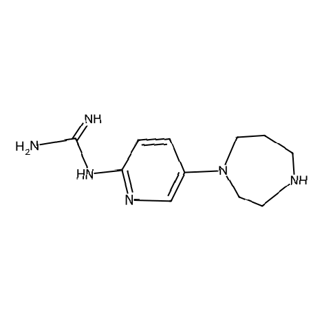 N=C(N)Nc1ccc(N2CCCNCC2)cn1